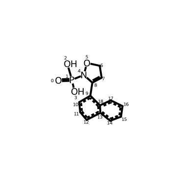 O=P(O)(O)N1OCC=C1c1cccc2ccccc12